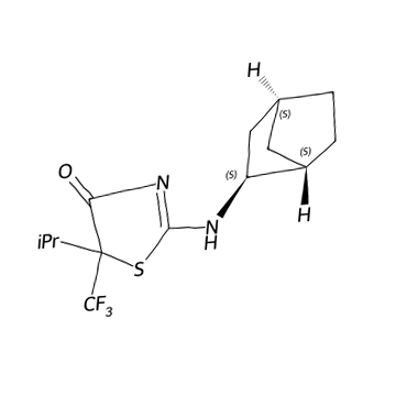 CC(C)C1(C(F)(F)F)SC(N[C@H]2C[C@H]3CC[C@H]2C3)=NC1=O